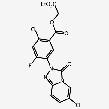 CCOC(=O)COC(=O)c1cc(-n2nc3ccc(Cl)cn3c2=O)c(F)cc1Cl